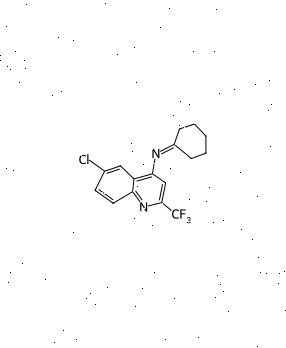 FC(F)(F)c1cc(N=C2CCCCC2)c2cc(Cl)ccc2n1